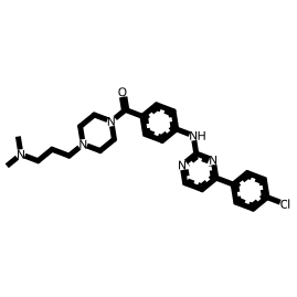 CN(C)CCCN1CCN(C(=O)c2ccc(Nc3nccc(-c4ccc(Cl)cc4)n3)cc2)CC1